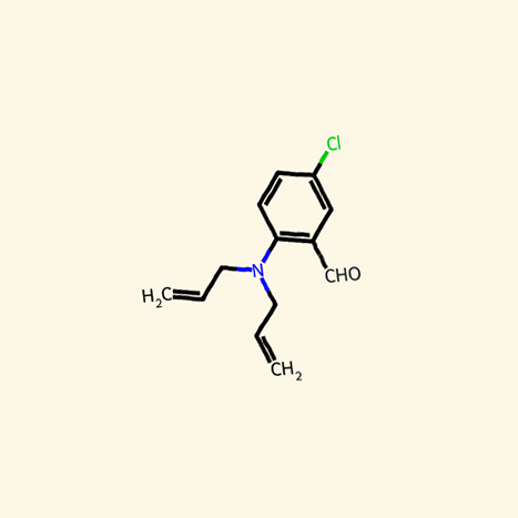 C=CCN(CC=C)c1ccc(Cl)cc1C=O